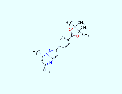 Cc1cc(C)n2nc(-c3ccc(B4OC(C)(C)C(C)(C)O4)cc3)cc2n1